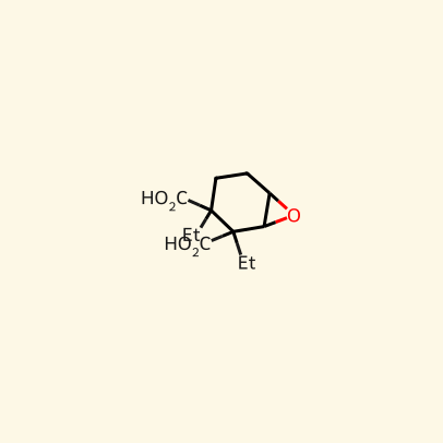 CCC1(C(=O)O)CCC2OC2C1(CC)C(=O)O